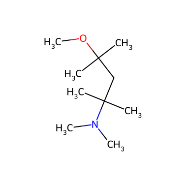 COC(C)(C)CC(C)(C)N(C)C